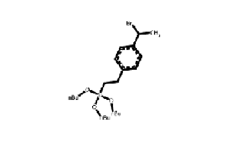 CCCCO[Si](CCc1ccc(C(C)Br)cc1)(OCCCC)OCCCC